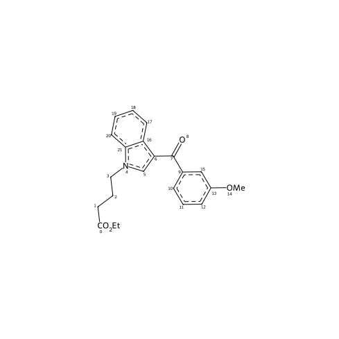 CCOC(=O)CCCn1cc(C(=O)c2cccc(OC)c2)c2ccccc21